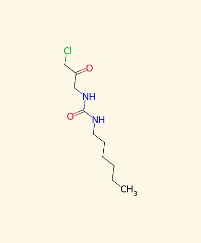 CCCCCCNC(=O)NCC(=O)CCl